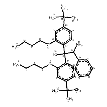 CCCCOc1cc(C(C)(C)C)ccc1C(O)(c1ccc(C(C)(C)C)cc1OCCCC)C(N)c1ccccc1